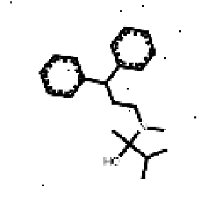 CC(C)C(C)(O)N(C)CCC(c1ccccc1)c1ccccc1